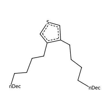 CCCCCCCCCCCCCCc1cscc1CCCCCCCCCCCCCC